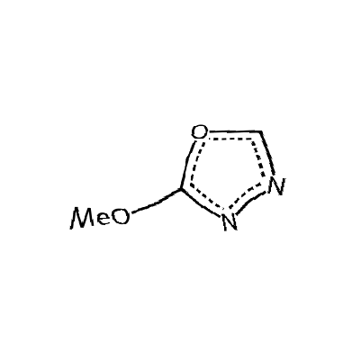 COc1nnco1